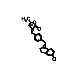 C[C@@H]1CN(Cc2ccc(CN3CCc4cc(Cl)ccc43)cc2)C(=O)O1